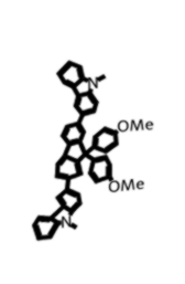 COc1ccc(C2(c3ccc(OC)cc3)c3cc(-c4ccc5c(c4)c4ccccc4n5C)ccc3-c3ccc(-c4ccc5c(c4)c4ccccc4n5C)cc32)cc1